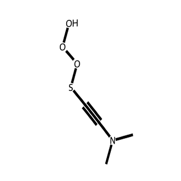 CN(C)C#CSOOO